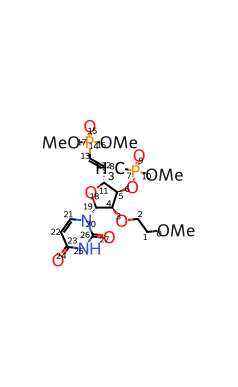 COCCO[C@@H]1[C@H](OP(C)(=O)OC)[C@@H](/C=C/P(=O)(OC)OC)O[C@H]1n1ccc(=O)[nH]c1=O